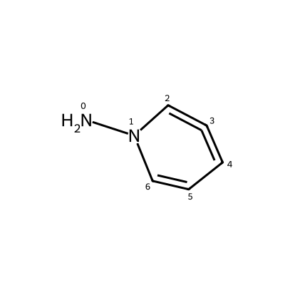 NN1C=C=CC=C1